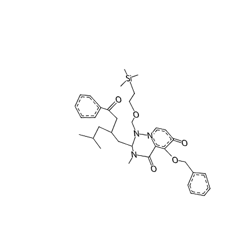 CC(C)CC(CC(=O)c1ccccc1)CC1N(C)C(=O)c2c(OCc3ccccc3)c(=O)ccn2N1COCC[Si](C)(C)C